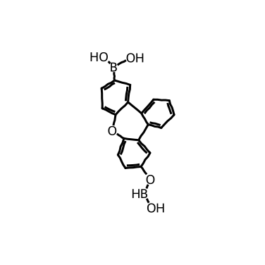 OBOc1ccc2c(c1)-c1ccccc1-c1cc(B(O)O)ccc1O2